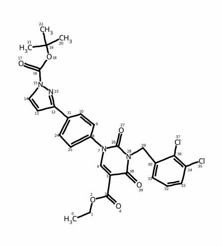 CCOC(=O)c1cn(-c2ccc(-c3ccn(C(=O)OC(C)(C)C)n3)cc2)c(=O)n(Cc2cccc(Cl)c2Cl)c1=O